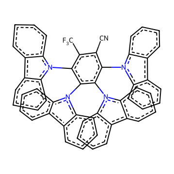 N#Cc1c(-n2c3ccccc3c3ccccc32)c(-n2c3ccccc3c3ccccc32)c(-n2c3ccccc3c3ccccc32)c(-n2c3ccccc3c3ccccc32)c1C(F)(F)F